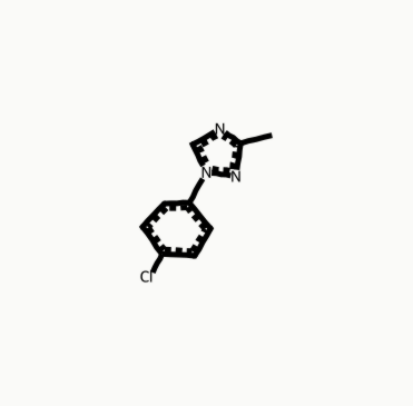 Cc1ncn(-c2ccc(Cl)cc2)n1